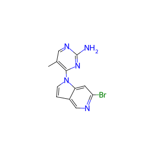 Cc1cnc(N)nc1-n1ccc2cnc(Br)cc21